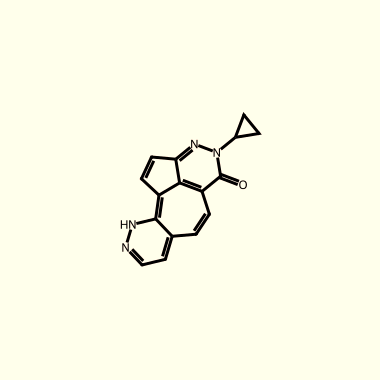 O=c1c2ccc3c(c4ccc(nn1C1CC1)c2-4)NN=CC=3